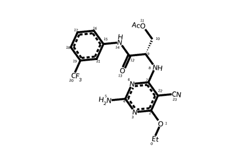 CCOc1nc(N)nc(N[C@@H](COC(C)=O)C(=O)Nc2cccc(C(F)(F)F)c2)c1C#N